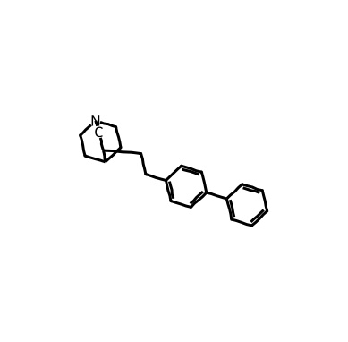 c1ccc(-c2ccc(CCC3CN4CCC3CC4)cc2)cc1